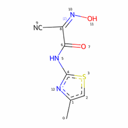 Cc1csc(NC(=O)/C(C#N)=N\O)n1